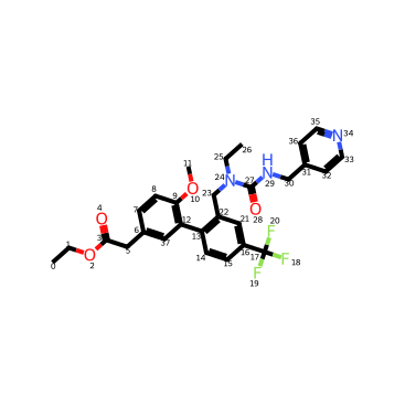 CCOC(=O)Cc1ccc(OC)c(-c2ccc(C(F)(F)F)cc2CN(CC)C(=O)NCc2ccncc2)c1